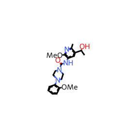 COc1ccccc1N1CCN(C(=O)Nc2cc(C(C)O)c(C)nc2OC)CC1